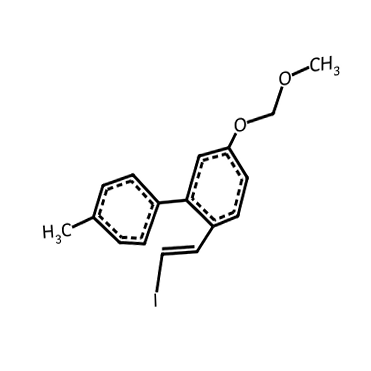 COCOc1ccc(/C=C/I)c(-c2ccc(C)cc2)c1